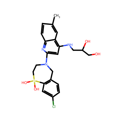 Cc1ccc2nc(N3CCS(O)(O)c4cc(Cl)ccc4C3)cc(NCC(O)CO)c2c1